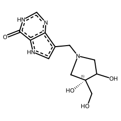 O=c1[nH]cnc2c(CN3CC(O)[C@@](O)(CO)C3)c[nH]c12